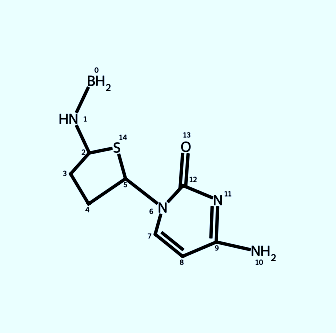 BNC1CCC(n2ccc(N)nc2=O)S1